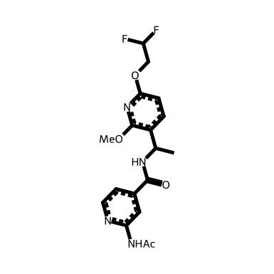 COc1nc(OCC(F)F)ccc1C(C)NC(=O)c1ccnc(NC(C)=O)c1